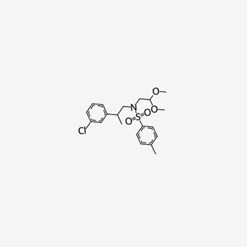 COC(CN(CC(C)c1cccc(Cl)c1)S(=O)(=O)c1ccc(C)cc1)OC